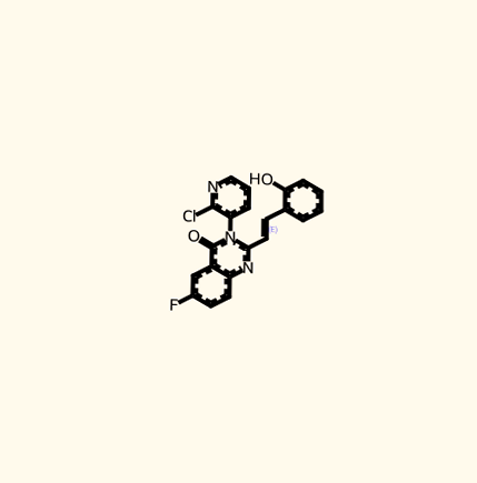 O=c1c2cc(F)ccc2nc(/C=C/c2ccccc2O)n1-c1cccnc1Cl